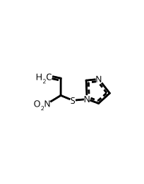 C=CC(Sn1ccnc1)[N+](=O)[O-]